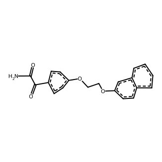 NC(=O)C(=O)c1ccc(OCCOc2ccc3ccccc3c2)cc1